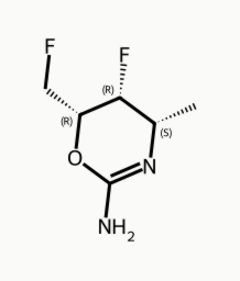 C[C@@H]1N=C(N)O[C@H](CF)[C@@H]1F